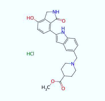 COC(=O)C1CCN(Cc2ccc3[nH]c(-c4ccc(O)c5c4C(=O)NC5)cc3c2)CC1.Cl